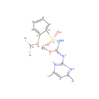 CCO/C(=N\c1nc(C)cc(C)n1)NS(=O)(=O)c1ccccc1OC(F)F